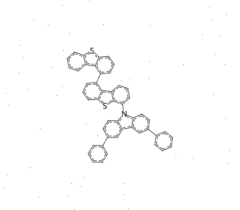 c1ccc(-c2ccc3c(c2)c2cc(-c4ccccc4)ccc2n3-c2cccc3c2sc2cccc(-c4cccc5sc6ccccc6c45)c23)cc1